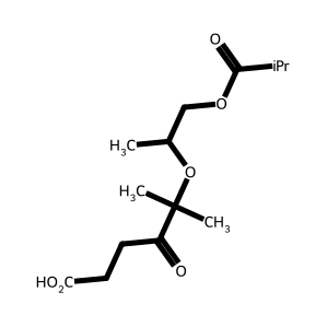 CC(COC(=O)C(C)C)OC(C)(C)C(=O)CCC(=O)O